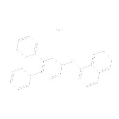 N.c1ccc(-c2ccc(Nc3cccc4ccccc34)cc2-c2ccccc2)cc1